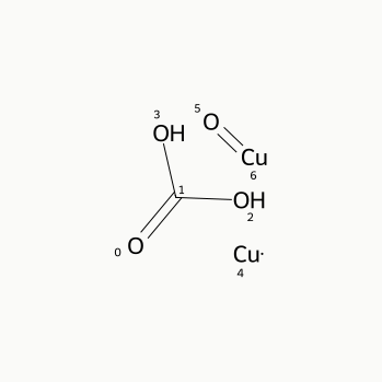 O=C(O)O.[Cu].[O]=[Cu]